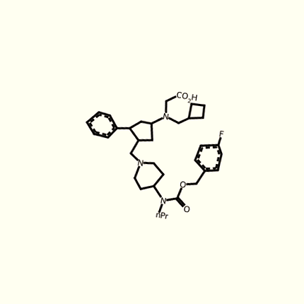 CCCN(C(=O)OCc1ccc(F)cc1)C1CCN(CC2CC(N(CC(=O)O)CC3CCC3)CC2c2ccccc2)CC1